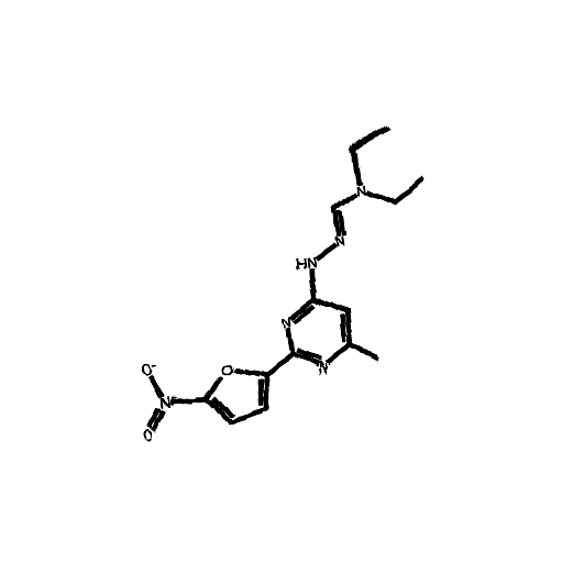 CCN(C=NNc1cc(C)nc(-c2ccc([N+](=O)[O-])o2)n1)CC